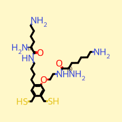 NCCCCC[C@H](N)C(=O)NCCOc1cc(CS)c(CS)cc1CCCCNC(=O)[C@@H](N)CCCCN